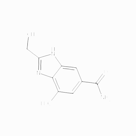 CCc1nc2c(C)cc(C(N)=O)cc2[nH]1